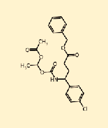 CC(=O)OC(C)OC(=O)NC(CCC(=O)OCc1ccccc1)c1ccc(Cl)cc1